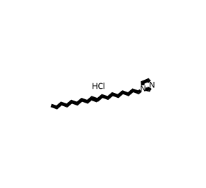 CCCCCCCCC=CCCCCCCCCN1C=NCC1.Cl